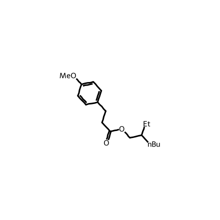 CCCCC(CC)COC(=O)CCc1ccc(OC)cc1